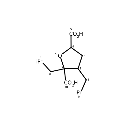 CC(C)CC1CC(C(=O)O)OC1(CC(C)C)C(=O)O